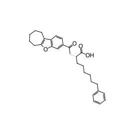 O=C(C[C@@H](CCCCCCc1ccccc1)C(=O)O)c1ccc2c3c(oc2c1)CCCCC3